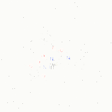 COc1cccc(OC)c1C(=O)NC1C(=O)N2C(C(=O)OCc3ccccc3)C3(CCN(Cc4ccccc4)CC3)S[C@@H]12